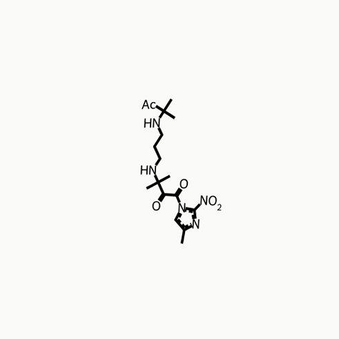 CC(=O)C(C)(C)NCCCNC(C)(C)C(=O)C(=O)n1cc(C)nc1[N+](=O)[O-]